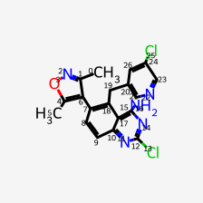 Cc1noc(C)c1-c1ccc2nc(Cl)nc(N)c2c1Cc1cncc(Cl)c1